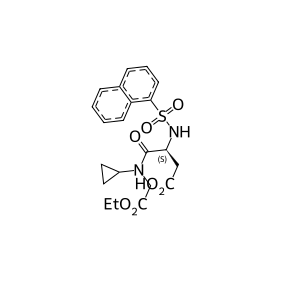 CCOC(=O)CN(C(=O)[C@H](CC(=O)O)NS(=O)(=O)c1cccc2ccccc12)C1CC1